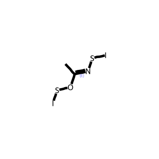 C/C(=N\SI)OSI